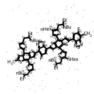 CCCCCCc1cc(-c2c3cc(-c4cc(F)c(-c5cc6c(-c7ccc(CC(CC)CCCC)s7)c7sc(C)cc7c(-c7ccc(CC(CC)CCCC)s7)c6s5)c5nsnc45)sc3c(-c3cc(CCCCCC)c(CC(CC)CCCC)s3)c3cc(-c4cc(F)c(C)c5nsnc45)sc23)sc1CC(CC)CCCC